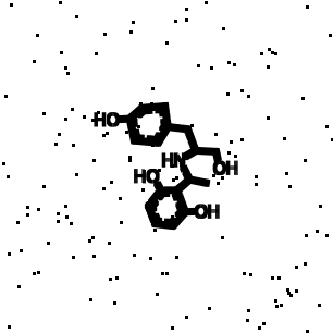 CC(NC(CO)Cc1ccc(O)cc1)c1c(O)cccc1O